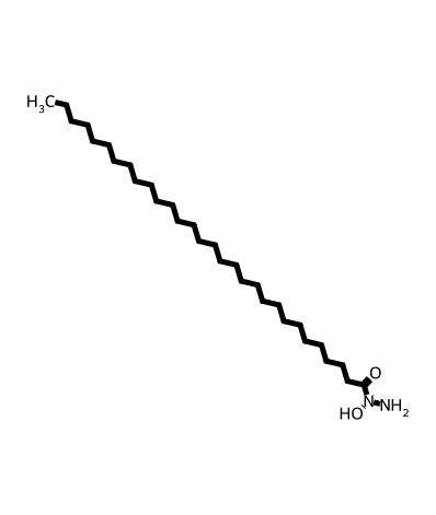 CCCCCCCCCCCCCCCCCCCCCCCCCCCCCC(=O)N(N)O